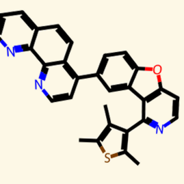 Cc1sc(C)c(-c2nccc3oc4ccc(-c5ccnc6c5ccc5cccnc56)cc4c23)c1C